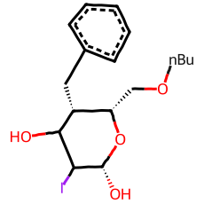 CCCCOC[C@@H]1O[C@H](O)C(I)C(O)[C@@H]1Cc1ccccc1